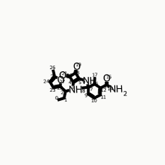 CCC(Nc1c(NC2(C)C=CC=C(C(N)=O)C2C)c(=O)c1=O)c1ccc(C)o1